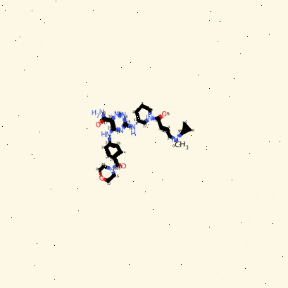 CN(CC=CC(=O)N1CCC[C@@H](Nc2nnc(C(N)=O)c(Nc3ccc(C(=O)N4CCOCC4)cc3)n2)C1)C1CC1